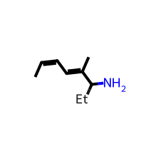 C/C=C\C=C(/C)C(N)CC